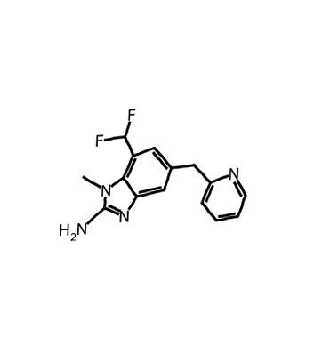 Cn1c(N)nc2cc(Cc3ccccn3)cc(C(F)F)c21